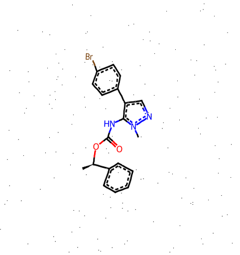 C[C@@H](OC(=O)Nc1c(-c2ccc(Br)cc2)cnn1C)c1ccccc1